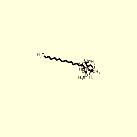 CCCCCCCCCCCCCCCC(O)[C@]1(C(C)(C)C)COC(C)(C)N1C(=O)OC